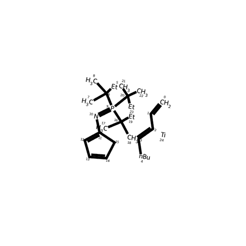 C=CC=CCCCC.CCC(C)(C)P(=NC1=CC=CC1)(C(C)(C)CC)C(C)(C)CC.[Ti]